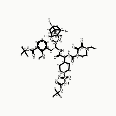 CCN1CCN(C(=O)NC(C(=O)N[C@@H](Cc2cccc(C(=O)OC(C)(C)C)c2OC)B2O[C@@H]3C[C@@H]4C[C@@H](C4(C)C)[C@]3(C)O2)C2CCN(S(=O)(=O)NC(=O)OC(C)(C)C)CC2)C(=O)C1=O